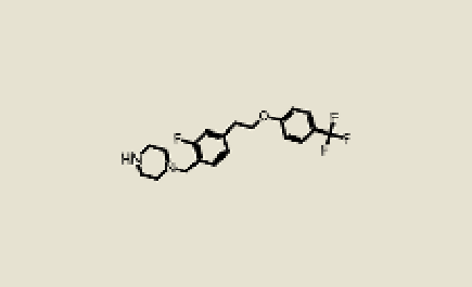 Fc1cc(CCOc2ccc(C(F)(F)F)cc2)ccc1CN1CCNCC1